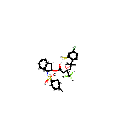 CSc1cc(Cl)ccc1C(C)(C)C[C@](O)(CC(=O)O[C@@H]1Cc2ccccc2[C@@H]1NS(=O)(=O)c1ccc(C)cc1)C(F)(F)F